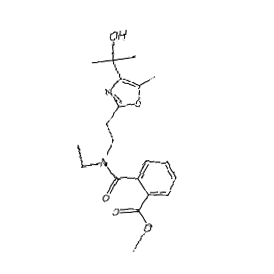 CCN(CCc1nc(C(C)(C)O)c(C)o1)C(=O)c1ccccc1C(=O)OC